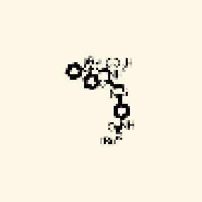 CC(C)(C)OC(=O)Nc1ccc(-c2nc(C(=O)N[C@@H](CO[Si](c3ccccc3)(c3ccccc3)C(C)(C)C)C(=O)O)cs2)cc1